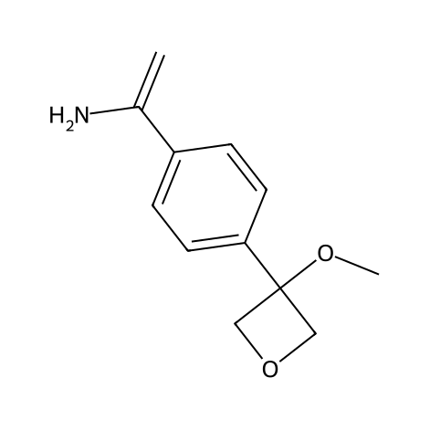 C=C(N)c1ccc(C2(OC)COC2)cc1